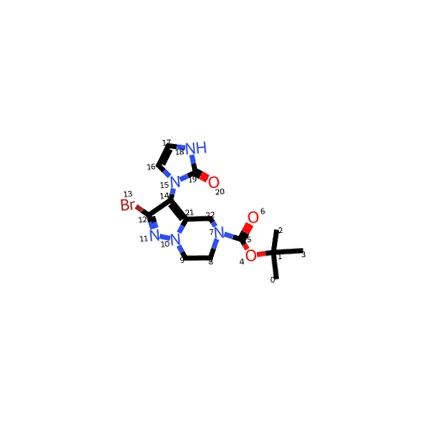 CC(C)(C)OC(=O)N1CCn2nc(Br)c(-n3cc[nH]c3=O)c2C1